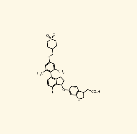 Cc1cc(OCC2CCS(=O)(=O)CC2)cc(C)c1-c1ccc(F)c2c1CC[C@H]2Oc1ccc2c(c1)OCC2CC(=O)O